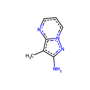 Cc1c(N)nn2cccnc12